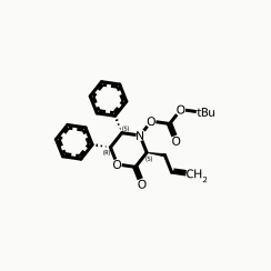 C=CC[C@H]1C(=O)O[C@H](c2ccccc2)[C@H](c2ccccc2)N1OC(=O)OC(C)(C)C